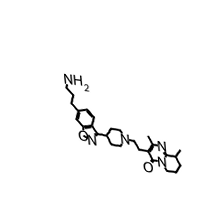 Cc1nc2n(c(=O)c1CCN1CCC(c3noc4cc(CCCN)ccc34)CC1)CCCC2C